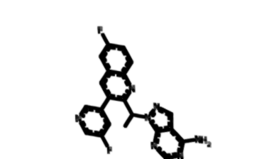 CC(c1nc2ccc(F)cc2cc1-c1cncc(F)c1)n1ncc2c(N)ncnc21